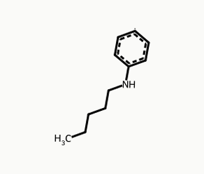 CCCCCNc1cc[c]cc1